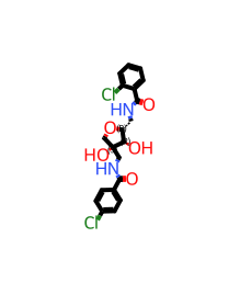 O=C(NC[C@]1(O)CO[C@H](CNC(=O)c2ccccc2Cl)[C@H]1O)c1ccc(Cl)cc1